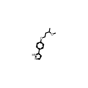 COC(C)CCOc1ccc(-c2ccn[nH]2)cc1